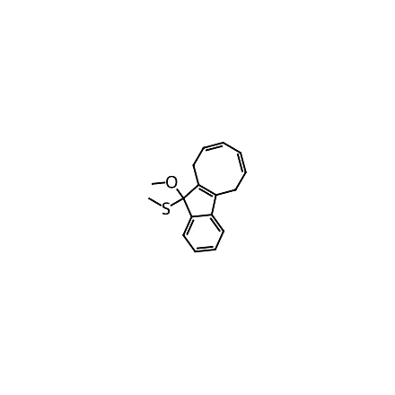 COC1(SC)C2=C(CC=C/C=C\C2)c2ccccc21